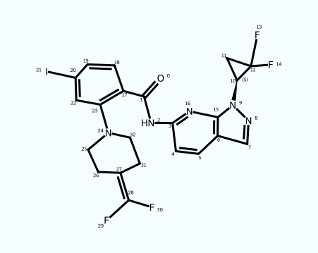 O=C(Nc1ccc2cnn([C@H]3CC3(F)F)c2n1)c1ccc(I)cc1N1CCC(=C(F)F)CC1